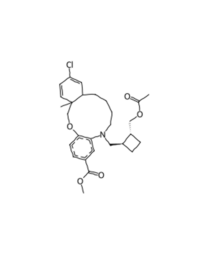 COC(=O)c1ccc2c(c1)N(C[C@@H]1CC[C@H]1COC(C)=O)CCCCC1C=C(Cl)C=CC1(C)CO2